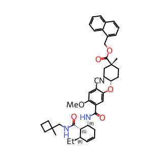 CC[C@@H]1C=CC[C@@H](NC(=O)c2cc(O[C@H]3CC[C@@](C)(C(=O)OCc4cccc5ccccc45)CC3)c(C#N)cc2OC)[C@H]1C(=O)NCC1(C)CCC1